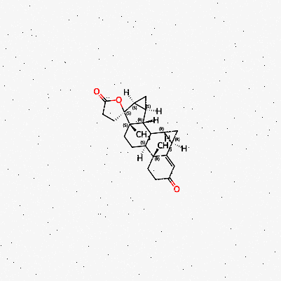 C[C@]12CCC(=O)C=C1[C@@H]1C[C@@H]1C1[C@@H]2CC[C@@]2(C)[C@@H]1[C@@H]1C[C@@H]1[C@@]21CCC(=O)O1